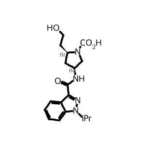 CC(C)n1nc(C(=O)N[C@H]2C[C@@H](CCO)N(C(=O)O)C2)c2ccccc21